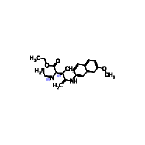 C=C(Nc1ccc2ccc(OC)cc2c1)/C(C)=C(\N=C/N)C(=O)OCC